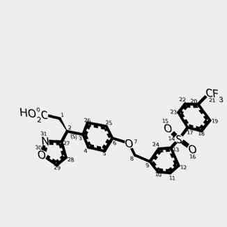 O=C(O)C[C@@H](c1ccc(OCc2cccc(S(=O)(=O)c3ccc(C(F)(F)F)cc3)c2)cc1)c1ccon1